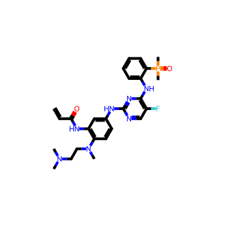 C=CC(=O)Nc1cc(Nc2ncc(F)c(Nc3ccccc3P(C)(C)=O)n2)ccc1N(C)CCN(C)C